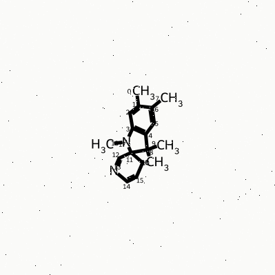 Cc1cc2c(cc1C)C(C)(C)C1(C=NC=CC1)N2C